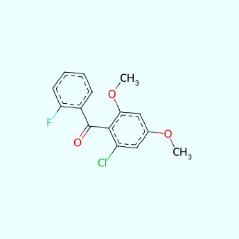 COc1cc(Cl)c(C(=O)c2ccccc2F)c(OC)c1